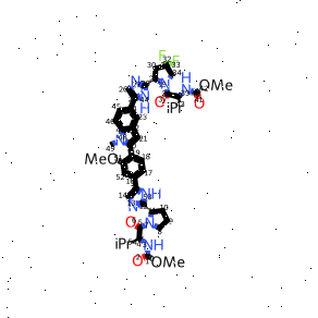 COC(=O)N[C@H](C(=O)N1CCC[C@H]1c1ncc(-c2ccc(-c3cc4cc(-c5cnc([C@@H]6CC(F)(F)CN6C(=O)[C@@H](NC(=O)OC)C(C)C)[nH]5)ccc4n3C)c(OC)c2)[nH]1)C(C)C